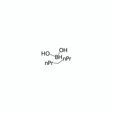 CCCCCCC.OBO